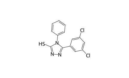 Sc1nnc(-c2cc(Cl)cc(Cl)c2)n1-c1ccccc1